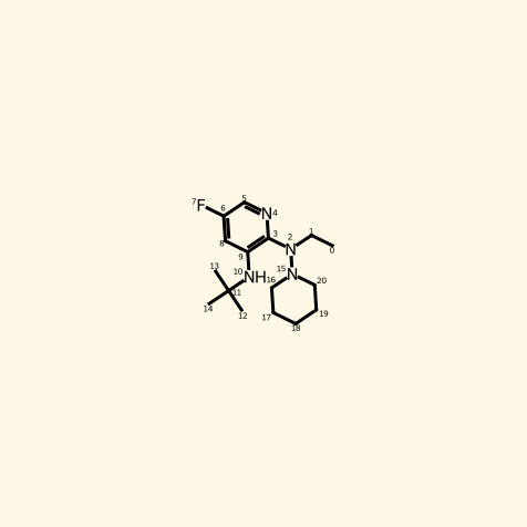 CCN(c1ncc(F)cc1NC(C)(C)C)N1CCCCC1